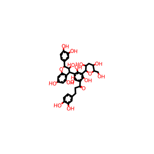 O=C(CCc1ccc(O)c(O)c1)c1c(O)c(C2OC(CO)C(O)CC2O)c(O)c(C2c3c(O)cc(O)cc3OC(c3ccc(O)c(O)c3)C2O)c1O